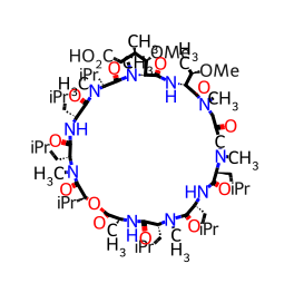 CO[C@H]([C@H](C)CC(=O)O)[C@@H]1C(=O)N[C@H]([C@@H](C)OC)C(=O)N(C)CC(=O)CN(C)[C@@H](CC(C)C)C(=O)N[C@H](CC(C)C)C(=O)N(C)[C@H](CC(C)C)C(=O)N[C@H](C)C(=O)O[C@@H](C(C)C)C(=O)N(C)[C@H](CC(C)C)C(=O)N[C@H](CC(C)C)C(=O)N(C)[C@H](C(C)C)C(=O)N1C